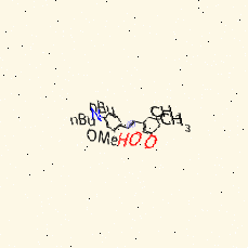 CCCCN(CCCC)c1ccc(/C=C/C2=C(O)C(=O)CC(C)(C)C2)c(OC)c1